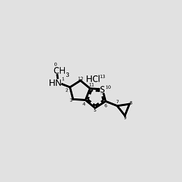 CNC1Cc2cc(C3CC3)sc2C1.Cl